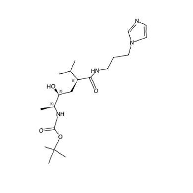 CC(C)[C@H](C[C@H](O)[C@H](C)NC(=O)OC(C)(C)C)C(=O)NCCCn1ccnc1